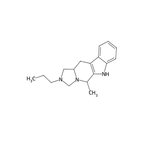 CCCN1CC2Cc3c([nH]c4ccccc34)C(C)N2C1